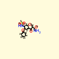 CS(=O)(=O)Nc1cc2occ(C(N)=O)c(=O)c2cc1Oc1ccccc1